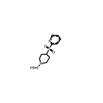 O=S(=O)(c1ccccn1)C1CCN(SS)CC1